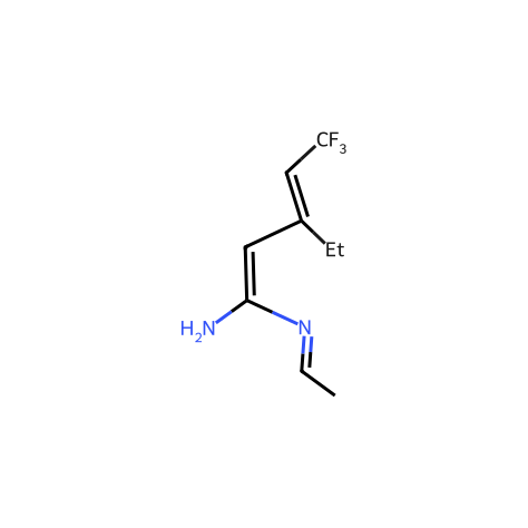 C/C=N/C(N)=C\C(=C\C(F)(F)F)CC